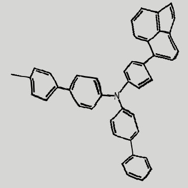 Cc1ccc(-c2ccc(N(c3ccc(-c4ccccc4)cc3)c3ccc(-c4ccc5c6c(cccc46)C=C5)cc3)cc2)cc1